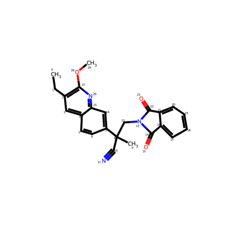 CCc1cc2ccc(C(C)(C#N)CN3C(=O)c4ccccc4C3=O)cc2nc1OC